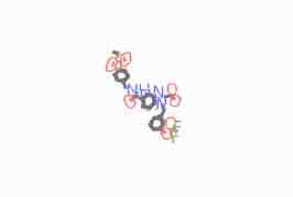 CCS(=O)(=O)c1ccc(CNC(=O)c2ccc3c(c2)nc(C(=O)OC)n3Cc2cccc3c2OC(F)(F)O3)cc1